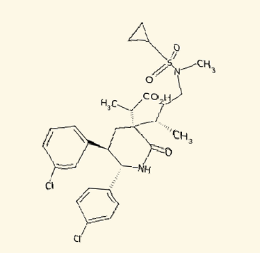 CC(C(=O)O)[C@@]1([C@@H](C)CCN(C)S(=O)(=O)C2CC2)C[C@H](c2cccc(Cl)c2)[C@@H](c2ccc(Cl)cc2)NC1=O